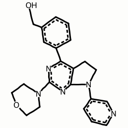 OCc1cccc(-c2nc(N3CCOCC3)nc3c2CCN3c2cccnc2)c1